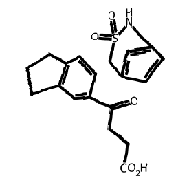 O=C(O)CCC(=O)c1ccc2c(c1)CCC2.O=S1(=O)Cc2ccc(cc2)N1